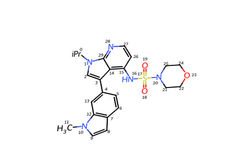 CC(C)n1cc(-c2ccc3ccn(C)c3c2)c2c(NS(=O)(=O)N3CCOCC3)ccnc21